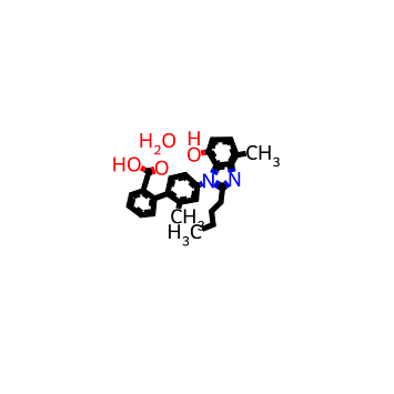 CCCCc1nc2c(C)ccc(O)c2n1-c1ccc(-c2ccccc2C(=O)O)c(C)c1.O